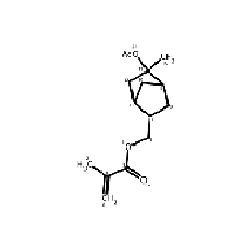 C=C(C)C(=O)OCC1CC2CC1CC2(OC(C)=O)C(F)(F)F